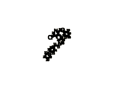 Clc1cnc2c(c1)N([C@@H]1CCN(CCc3ccc(N4CCCC4)cc3)C1)c1ccccc1OC2